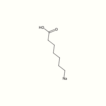 O=C(O)CCCCC[CH2][Na]